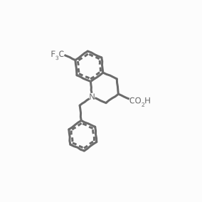 O=C(O)C1Cc2ccc(C(F)(F)F)cc2N(Cc2ccccc2)C1